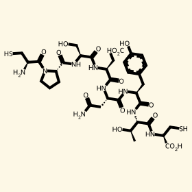 C[C@@H](O)[C@H](NC(=O)[C@H](Cc1ccc(O)cc1)NC(=O)[C@H](CC(N)=O)NC(=O)[C@H](CC(=O)O)NC(=O)[C@H](CO)NC(=O)[C@@H]1CCCN1C(=O)[C@@H](N)CS)C(=O)N[C@@H](CS)C(=O)O